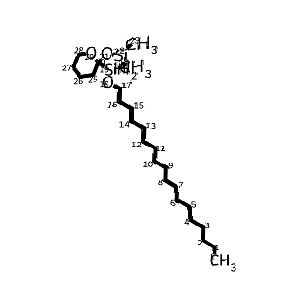 CCCCCCCCCCCCCCCCCCO[SiH2]C1(O[SiH](C)C)CCCCO1